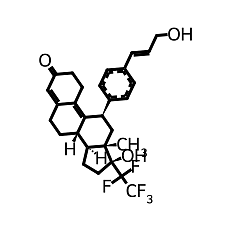 C[C@]12C[C@H](c3ccc(C=CCO)cc3)C3=C4CCC(=O)C=C4CC[C@H]3[C@@H]1CC[C@@]2(O)C(F)(F)C(F)(F)F